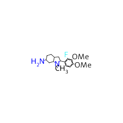 COc1ccc(C2CC3CCC(N)CC3N2C)c(F)c1OC